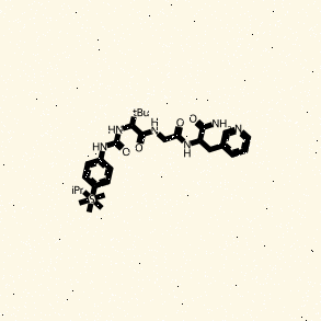 CC(C)S(C)(C)(C)(C)c1ccc(NC(=O)NC(C(=O)NCC(=O)NC(Cc2cccnc2)C(N)=O)C(C)(C)C)cc1